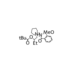 CCC(C[N+]1([N-]C(=O)c2ccccc2OC)CCCCC1)OC(=O)C(C)(C)C